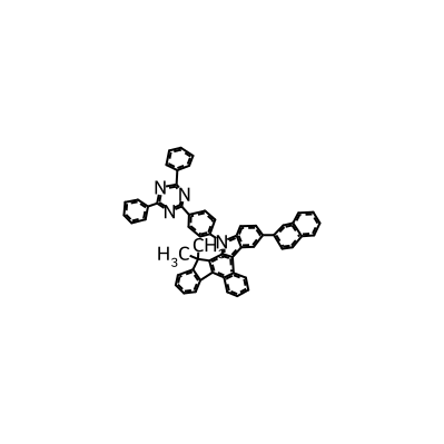 CC1(C)c2ccccc2-c2c1c1c(c3ccccc23)c2cc(-c3ccc4ccccc4c3)ccc2n1-c1ccc(-c2nc(-c3ccccc3)nc(-c3ccccc3)n2)cc1